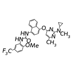 COc1ccc(C(F)(F)F)cc1NC(=O)Nc1ccc(Oc2cc(C)nc(N(C)C3CC3)n2)c2ccccc12